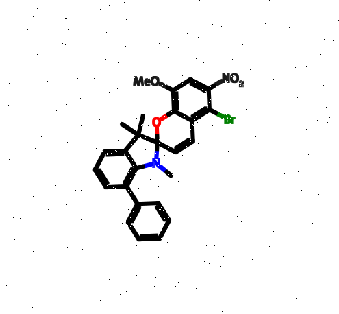 COc1cc([N+](=O)[O-])c(Br)c2c1OC1(C=C2)N(C)c2c(-c3ccccc3)cccc2C1(C)C